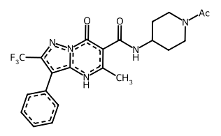 CC(=O)N1CCC(NC(=O)c2c(C)[nH]c3c(-c4ccccc4)c(C(F)(F)F)nn3c2=O)CC1